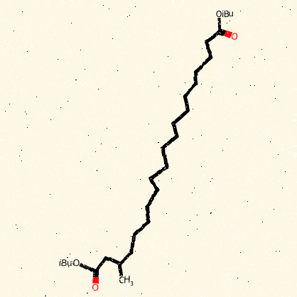 CC(C)COC(=O)CCCCCCCCCCCCCCCCC(C)CC(=O)OCC(C)C